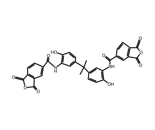 CC(C)(c1ccc(O)c(NC(=O)c2ccc3c(c2)C(=O)OC3=O)c1)c1ccc(O)c(NC(=O)c2ccc3c(c2)C(=O)OC3=O)c1